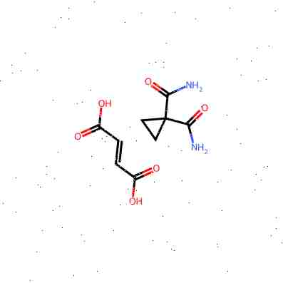 NC(=O)C1(C(N)=O)CC1.O=C(O)/C=C/C(=O)O